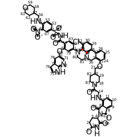 O=C1CCC(N2C(=O)c3cccc(NCC(=O)N4CCC(COc5cccc(-c6ccc(Cl)cc6)c5CN5CCN(c6ccc(C(=O)NS(=O)(=O)c7ccc(NCC8CCOCC8)c([N+](=O)[O-])c7)c(Oc7cnc8[nH]ccc8c7)c6)CC5)CC4)c3C2=O)C(=O)N1